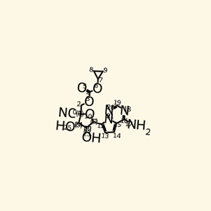 N#C[C@]1(COC(=O)OC2CC2)O[C@@H](c2ccc3c(N)ncnn23)[C@H](O)[C@@H]1O